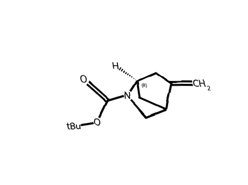 C=C1C[C@H]2CC1CN2C(=O)OC(C)(C)C